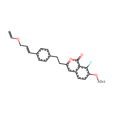 C=COC/C=C/c1ccc(CCc2cc3ccc(OCCCCCCCC)c(F)c3c(=O)o2)cc1